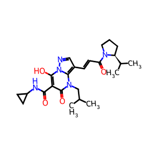 CC(C)Cn1c(=O)c(C(=O)NC2CC2)c(O)n2ncc(/C=C/C(=O)N3CCC[C@H]3C(C)C)c12